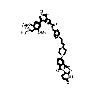 COc1cc(-c2cn(C)c(=O)c3cc(C(=O)NC4CC5CC4CN5CCCN4CCN(c5ccc6c(c5)C(=O)N(C5CCC(=O)NC5=O)C6=O)CC4)sc23)cc(OC)c1CN(C)C